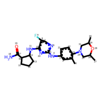 Cc1cc(Nc2ncc(F)c(NC3CCCC3C(N)=O)n2)ccc1N1CC(C)OC(C)C1